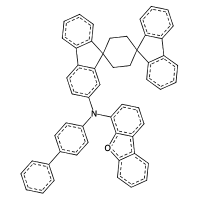 c1ccc(-c2ccc(N(c3ccc4c(c3)C3(CCC5(CC3)c3ccccc3-c3ccccc35)c3ccccc3-4)c3cccc4c3oc3ccccc34)cc2)cc1